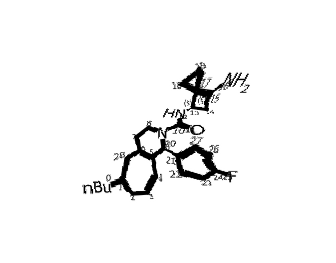 CCCCC1CC=CC2=C(CCN(C(=O)N[C@H]3C[C@H](N)C34CC4)[C@H]2c2ccc(F)cc2)C1